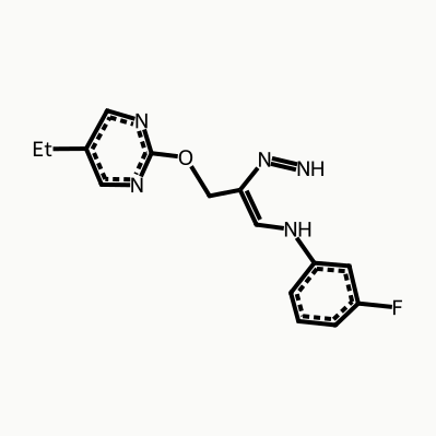 CCc1cnc(OC/C(=C/Nc2cccc(F)c2)N=N)nc1